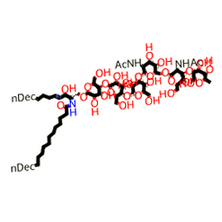 CCCCCCCCCCCCC/C=C/[C@@H](O)[C@H](CO[C@@H]1OC(CO)[C@@H](O[C@@H]2OC(CO)[C@H](O[C@@H]3OC(CO)[C@H](O)[C@H](O[C@@H]4OC(CO[C@@H]5OC(CO)[C@@H](O)[C@H](O[C@H]6C(O)[C@H](O)C(C)O[C@H]6O)C5NC(C)=O)[C@H](O)[C@H](O)C4NC(C)=O)C3O)[C@H](O)C2O)[C@H](O)C1O)NC(=O)CCCCCCCCCCCCCCCCCCCCC